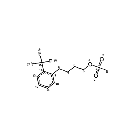 CS(=O)(=O)OCCCCc1ccccc1C(F)(F)F